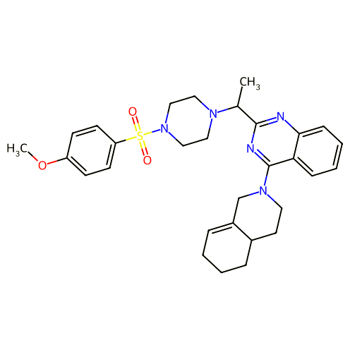 COc1ccc(S(=O)(=O)N2CCN(C(C)c3nc(N4CCC5CCCC=C5C4)c4ccccc4n3)CC2)cc1